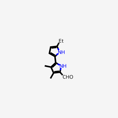 CCc1ccc(-c2[nH]c(C=O)c(C)c2C)[nH]1